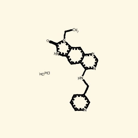 CCn1c(=O)[nH]c2cc3c(NCc4cccnc4)ncnc3cc21.Cl.Cl